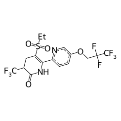 CCS(=O)(=O)C1=C(c2ccc(OCC(F)(F)C(F)(F)F)cn2)NC(=O)C(C(F)(F)F)C1